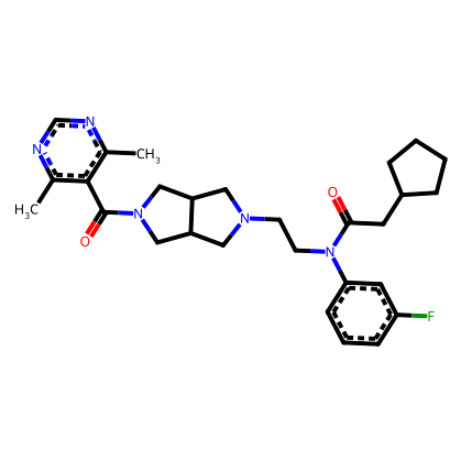 Cc1ncnc(C)c1C(=O)N1CC2CN(CCN(C(=O)CC3CCCC3)c3cccc(F)c3)CC2C1